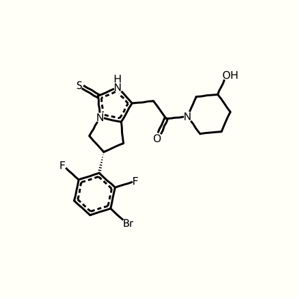 O=C(Cc1[nH]c(=S)n2c1C[C@H](c1c(F)ccc(Br)c1F)C2)N1CCCC(O)C1